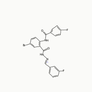 O=C(Nc1ccc(Br)cc1C(=O)N/N=C/c1cccc(F)c1)c1ccc(F)cc1